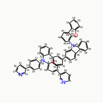 c1cncc(-c2ccc(N(c3ccc(-c4cccnc4)cc3)c3ccccc3-c3cccc(-c4ccc5c6ccccc6n(-c6cccc7c6oc6ccccc67)c5c4)c3)cc2)c1